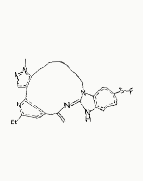 C=C1/N=C2\Nc3ccc(SF)cc3N2CCCCCCc2c(cnn2C)-c2cc1cc(CC)n2